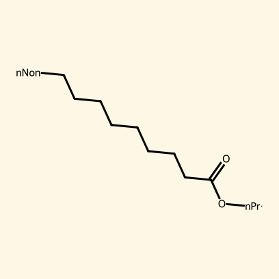 CC[CH]OC(=O)CCCCCCCCCCCCCCCCC